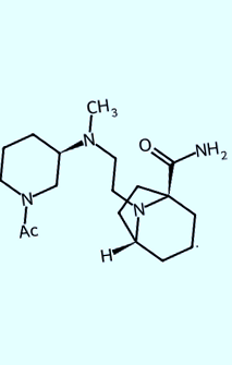 CC(=O)N1CCC[C@@H](N(C)CCN2[C@@H]3C[CH]C[C@@]2(C(N)=O)CC3)C1